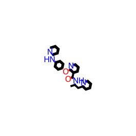 CC(Cc1ccccn1)NC(=O)c1cccnc1Oc1ccc(Nc2ccccn2)cc1